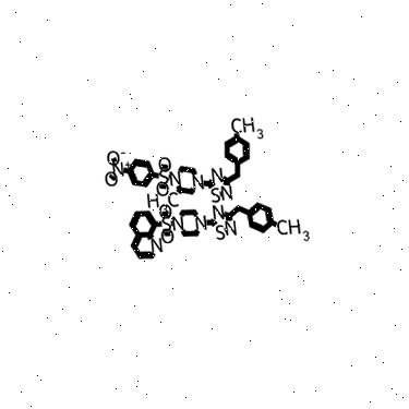 Cc1ccc(Cc2nsc(N3CCN(S(=O)(=O)c4ccc([N+](=O)[O-])cc4)C(C)C3)n2)cc1.Cc1ccc(Cc2nsc(N3CCN(S(=O)(=O)c4cccc5cccnc45)CC3)n2)cc1